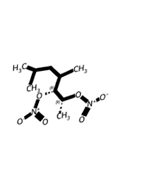 CC(C)CC(C)[C@@H](O[N+](=O)[O-])[C@@H](C)O[N+](=O)[O-]